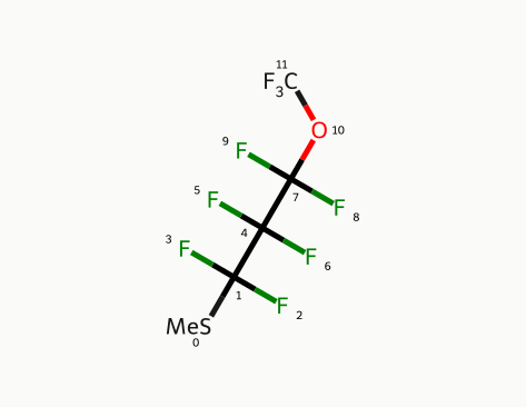 CSC(F)(F)C(F)(F)C(F)(F)OC(F)(F)F